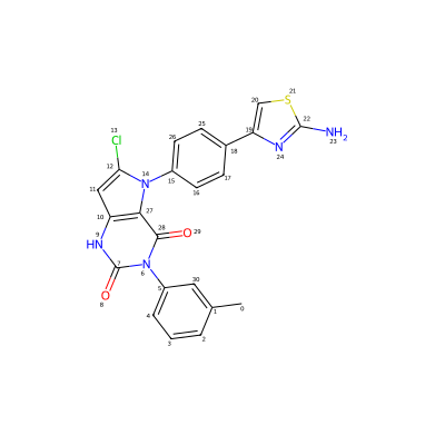 Cc1cccc(-n2c(=O)[nH]c3cc(Cl)n(-c4ccc(-c5csc(N)n5)cc4)c3c2=O)c1